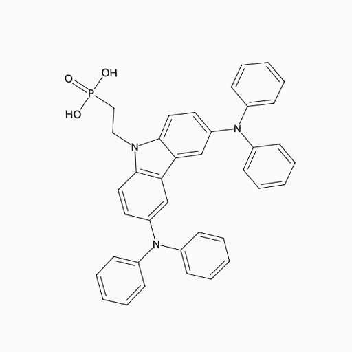 O=P(O)(O)CCn1c2ccc(N(c3ccccc3)c3ccccc3)cc2c2cc(N(c3ccccc3)c3ccccc3)ccc21